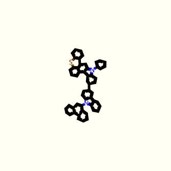 c1ccc(-n2c3ccc(-c4ccc5c(c4)c4ccccc4n5-c4cc5ccccc5c5ccccc45)cc3c3c4cccc5c4c(cc32)-c2ccccc2S5)cc1